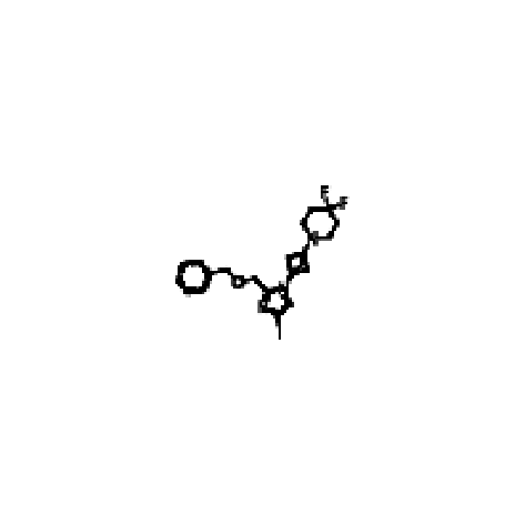 FC1(F)CCN(C23CC(n4cc(I)nc4COCc4ccccc4)(C2)C3)CC1